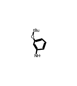 CC(C)(C)Oc1cccc([NH])c1